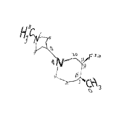 C[C@H]1CCN(C2CN(C)C2)C[C@H]1F